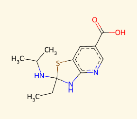 CCC1(NC(C)C)Nc2ncc(C(=O)O)cc2S1